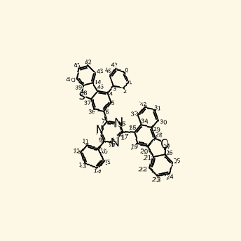 C1=CCC(c2cc(-c3nc(-c4ccccc4)nc(-c4cc5c6ccccc6oc5c5ccccc45)n3)cc3sc4ccccc4c23)C=C1